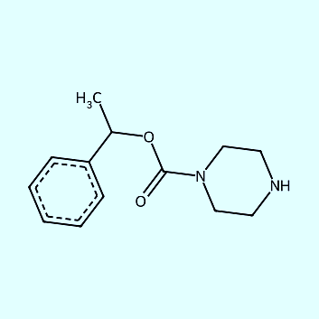 CC(OC(=O)N1CCNCC1)c1ccccc1